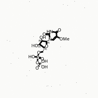 COc1cn([C@@H]2O[C@H](COP(=O)(O)OP(=O)(O)O)[C@@H](O)[C@H]2O)c(=O)[nH]c1=O